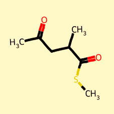 CSC(=O)C(C)CC(C)=O